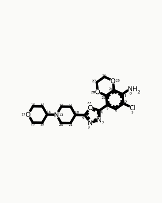 Nc1c(Cl)cc(-c2nnc(C3CCN(C4CCOCC4)CC3)o2)c2c1OCCO2